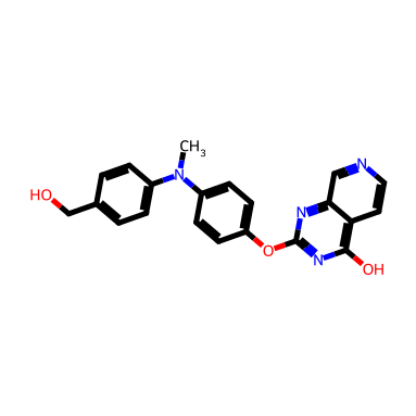 CN(c1ccc(CO)cc1)c1ccc(Oc2nc(O)c3ccncc3n2)cc1